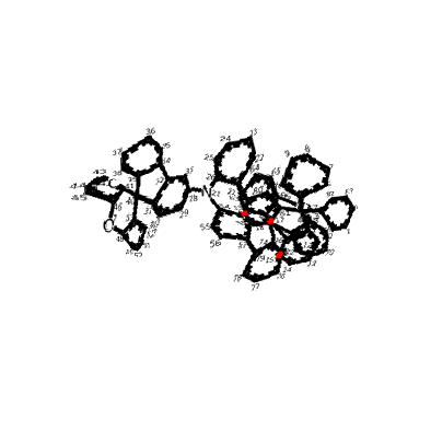 c1ccc(C2(c3ccccc3)c3ccccc3-c3ccc(-c4ccccc4N(c4ccc5c(c4)-c4ccccc4C54c5ccccc5Oc5ccccc54)c4ccc5c(c4)C4(c6ccccc6Oc6ccccc64)c4ccccc4-5)cc32)cc1